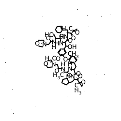 COc1ccc(C(O)C(NC(=O)C(CO)NC(=O)CN2CCOCC2)C(=O)NC(CC2=CCCCC2)C(=O)C2(C)CO2)cc1Oc1cc(CC(NC(=O)C(C)NC(=O)CN2CCOCC2)C(=O)NC(CC2CCCC2)C(=O)C2(C)CO2)ccc1C